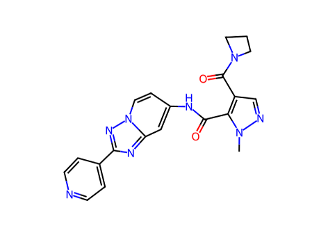 Cn1ncc(C(=O)N2CCC2)c1C(=O)Nc1ccn2nc(-c3ccncc3)nc2c1